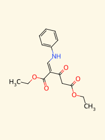 CCOC(=O)CC(=O)/C(=C\Nc1ccccc1)C(=O)OCC